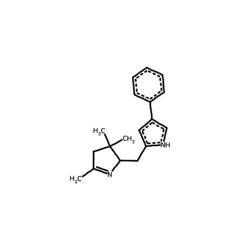 CC1=NC(Cc2cc(-c3ccccc3)c[nH]2)C(C)(C)C1